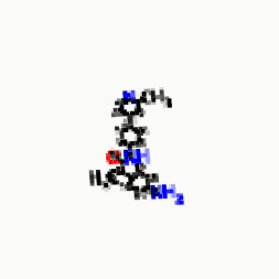 Cc1cc(-c2ccc(NC(=O)C(C)c3ccc(N)cc3)cc2)ccn1